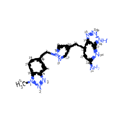 Cn1nnc2cc(Cn3cc(Cc4cc(N)nc5[nH]nnc45)cn3)ccc21